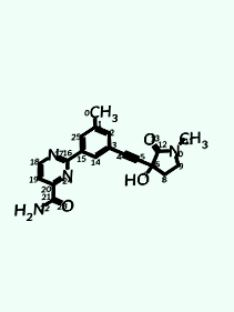 Cc1cc(C#CC2(O)CCN(C)C2=O)cc(-c2nccc(C(N)=O)n2)c1